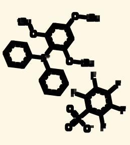 CC(C)(C)Oc1cc(OC(C)(C)C)c([S+](c2ccccc2)c2ccccc2)c(OC(C)(C)C)c1.O=S(=O)([O-])c1c(F)c(F)c(F)c(F)c1F